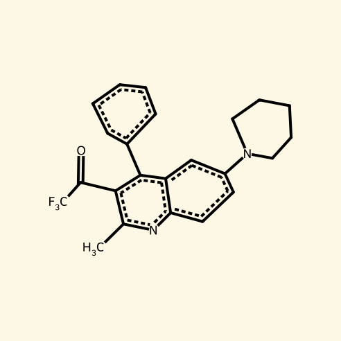 Cc1nc2ccc(N3CCCCC3)cc2c(-c2ccccc2)c1C(=O)C(F)(F)F